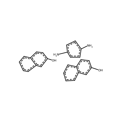 Nc1ccc(N)cc1.Oc1ccc2ccccc2c1.Oc1ccc2ccccc2c1